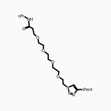 CCCCCc1cn(CCOCCOCCOCCOCCC(=O)NCCC)nn1